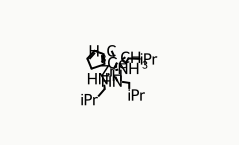 CC(C)C[NH][Zr]([NH]CC(C)C)([NH]CC(C)C)([C]1=CC=CC1)[GeH]([CH3])[CH3]